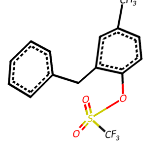 Cc1ccc(OS(=O)(=O)C(F)(F)F)c(Cc2ccccc2)c1